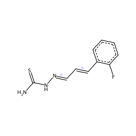 NC(=S)N/N=C/C=C/c1ccccc1F